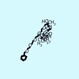 CC(O)(COCCOCCOCCOCCOCc1ccccc1)c1ncc(S(=O)(=O)N[Si](C)(C)C(C)(C)C)s1